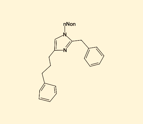 CCCCCCCCCn1cc(CCCc2ccccc2)nc1Cc1ccccc1